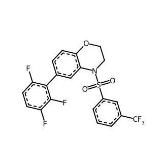 O=S(=O)(c1cccc(C(F)(F)F)c1)N1CCOc2ccc(-c3c(F)ccc(F)c3F)cc21